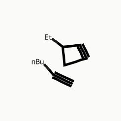 C#CCCCC.CCC1C#CC1